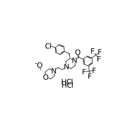 COC[C@@H]1CN(CCN2CCN(C(=O)c3cc(C(F)(F)F)cc(C(F)(F)F)c3)[C@H](Cc3ccc(Cl)cc3)C2)CCO1.Cl.Cl